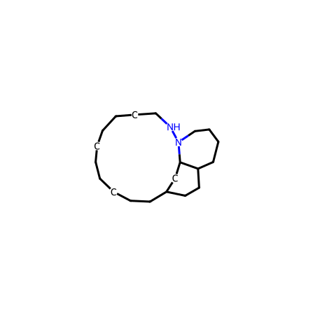 C1CCCCCC2CCC3CCCCN(NCCCC1)C3C2